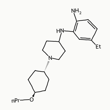 CCCO[C@H]1CC[C@H](N2CCC(Nc3cc(CC)ccc3N)CC2)CC1